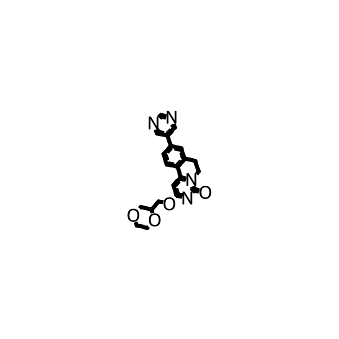 O=c1nc(OCC2COCCO2)cc2n1CCc1cc(-c3cncnc3)ccc1-2